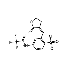 O=C1OCCC1=Cc1cc(NC(=O)C(F)(F)F)ccc1S(=O)(=O)Cl